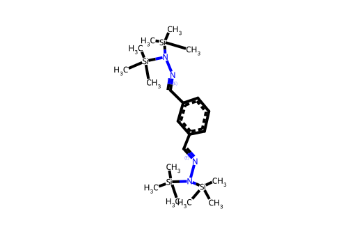 C[Si](C)(C)N(/N=C/c1cccc(/C=N/N([Si](C)(C)C)[Si](C)(C)C)c1)[Si](C)(C)C